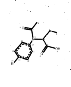 CCC(C(=O)O)N(C(C)=O)c1ccc(Br)cc1